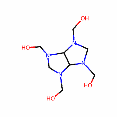 OCN1CN(CO)C2C1N(CO)CN2CO